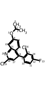 CC(C)Oc1ccc2c(-c3ccc(F)cc3Cl)cc(Cl)nc2c1